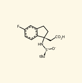 CC(C)(C)[S@+]([O-])N[C@@]1(CC(=O)O)CCc2cc(F)ccc21